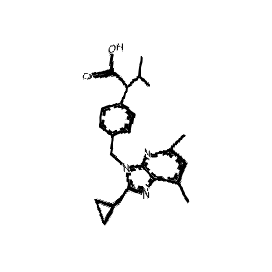 Cc1cc(C)c2nc(C3CC3)n(Cc3ccc(C(C(=O)O)C(C)C)cc3)c2n1